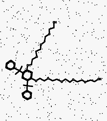 CC(C)(c1ccccc1)c1cc(C(C)(C)c2ccccc2)c(OCCOCCOCCOCCOCCO)cc1OCCOCCOCCOCCO